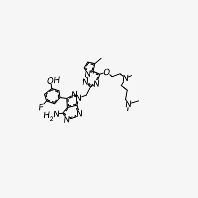 Cc1ccn2nc(Cn3nc(-c4cc(O)cc(F)c4)c4c(N)ncnc43)nc(OCCN(C)CCCN(C)C)c12